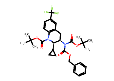 CC(C)(C)OC(=O)N(C(=O)OCc1ccccc1)[C@@H]1Cc2cc(C(F)(F)F)ccc2N(C(=O)OC(C)(C)C)[C@@H]1C1CC1